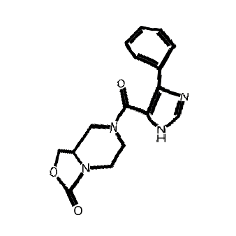 O=C(c1[nH]cnc1-c1ccccc1)N1CCN2C(=O)OCC2C1